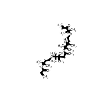 C=CC(=O)OC(C)(C)CCOC(C)(C)C(C)(C)CC(C)OC(C)(C)C(C)(C)CCOC(C)(C)C(=O)C=C